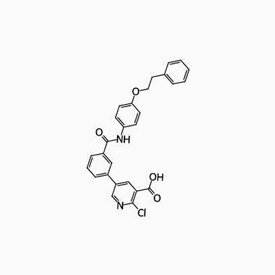 O=C(Nc1ccc(OCCc2ccccc2)cc1)c1cccc(-c2cnc(Cl)c(C(=O)O)c2)c1